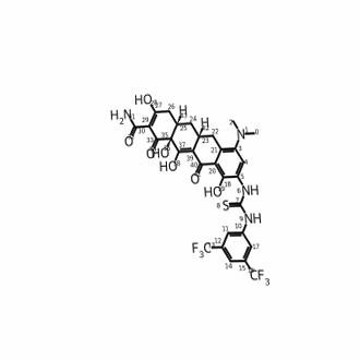 CN(C)c1cc(NC(=S)Nc2cc(C(F)(F)F)cc(C(F)(F)F)c2)c(O)c2c1C[C@H]1C[C@H]3CC(O)=C(C(N)=O)C(=O)[C@@]3(O)C(O)=C1C2=O